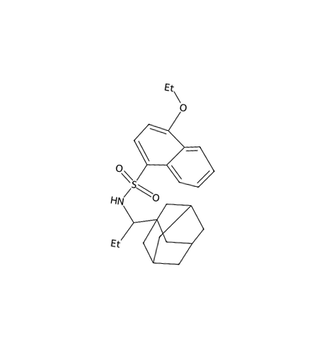 CCOc1ccc(S(=O)(=O)NC(CC)C23CC4CC(CC(C4)C2)C3)c2ccccc12